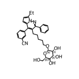 CCc1ccc2c(-c3cccc(C#N)c3)c(CCCCCO[C@@H]3O[C@H](CO)[C@H](O)[C@@H](O)[C@@H]3O)c(-c3ccccc3)nn12